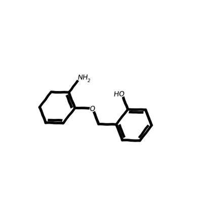 NC1=C(OCc2ccccc2O)C=CCC1